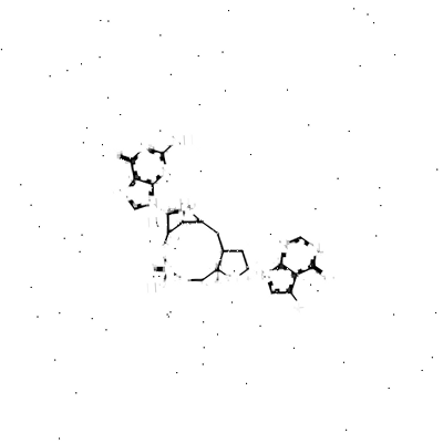 Nc1nc2c(ncn2[C@@H]2OC3CC4C[C@H](n5cc(F)c6c(=O)[nH]cnc65)O[C@@H]4COP(=O)(S)O[C@@H]2[C@@H]3F)c(=O)[nH]1